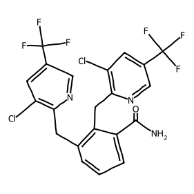 NC(=O)c1cccc(Cc2ncc(C(F)(F)F)cc2Cl)c1Cc1ncc(C(F)(F)F)cc1Cl